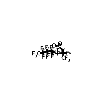 O=S(=O)(CC(F)(F)C(F)(F)F)OC(F)(F)C(F)(F)C(F)(F)C(F)(F)F